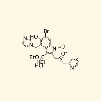 CCOC(=O)c1c(C[S+]([O-])Cc2cscn2)n(C2CC2)c2cc(Br)c(O)c(Cn3ccnc3)c12.Cl.Cl